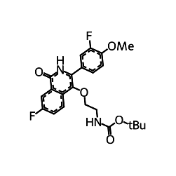 COc1ccc(-c2[nH]c(=O)c3cc(F)ccc3c2OCCNC(=O)OC(C)(C)C)cc1F